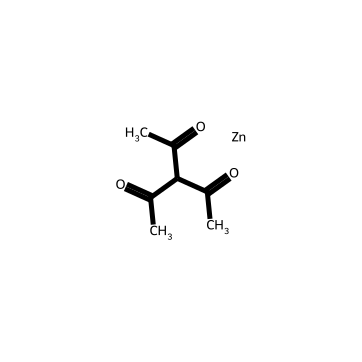 CC(=O)C(C(C)=O)C(C)=O.[Zn]